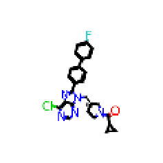 O=C(C1CC1)N1CC[C@@H](Cn2c(-c3ccc(-c4ccc(F)cc4)cc3)nc3c(Cl)ncnc32)C1